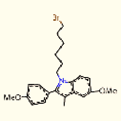 COc1ccc(-c2c(C)c3cc(OC)ccc3n2CCCCCCBr)cc1